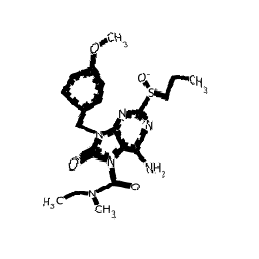 CCC[S+]([O-])c1nc(N)c2c(n1)n(Cc1ccc(OC)cc1)c(=O)n2C(=O)N(C)CC